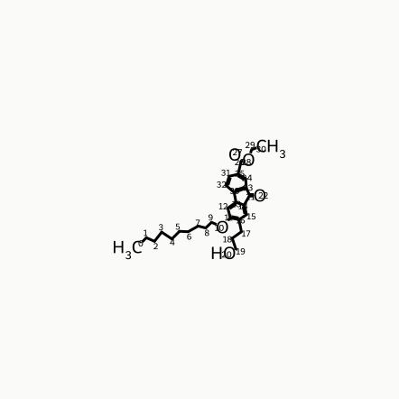 CCCCCCCCCCOc1cc2c(cc1CCCO)C(=O)c1cc(C(=O)OCC)ccc1-2